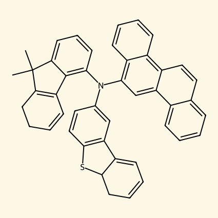 CC1(C)C2=C(C=CCC2)c2c(N(c3ccc4c(c3)C3=CC=CCC3S4)c3cc4c5ccccc5ccc4c4ccccc34)cccc21